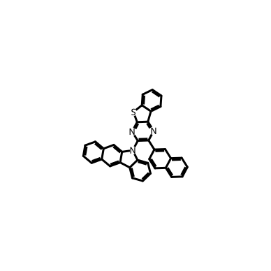 c1ccc2cc(-c3nc4c(nc3-n3c5ccccc5c5cc6ccccc6cc53)sc3ccccc34)ccc2c1